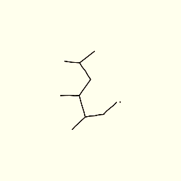 [CH2]CC(C)C(C)CC(C)C